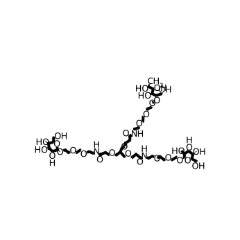 C[C@H](O)C(O)[C@H](O)C(CO)OOCCOCCOCCNC(=O)CCOCC(COCCC(=O)NCCOCCOCCO[C@H]1OC(CO)[C@@H](O)C(O)C1O)COCCC(=O)NCCOCCOCCO[C@H]1OC(CO)[C@@H](O)C(O)C1O